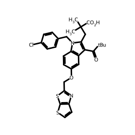 CC(C)(C)C(=O)c1c(CC(C)(C)C(=O)O)n(Cc2ccc(Cl)cc2)c2ccc(OCc3nc4ccsc4s3)cc12